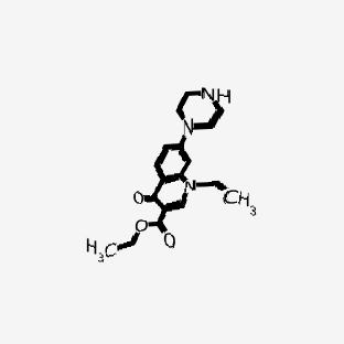 CCOC(=O)c1cn(CC)c2cc(N3CCNCC3)ccc2c1=O